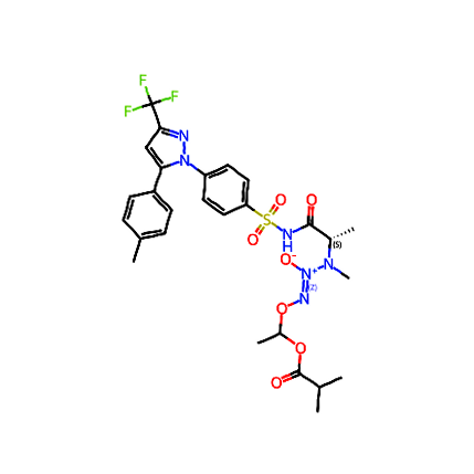 Cc1ccc(-c2cc(C(F)(F)F)nn2-c2ccc(S(=O)(=O)NC(=O)[C@H](C)N(C)/[N+]([O-])=N/OC(C)OC(=O)C(C)C)cc2)cc1